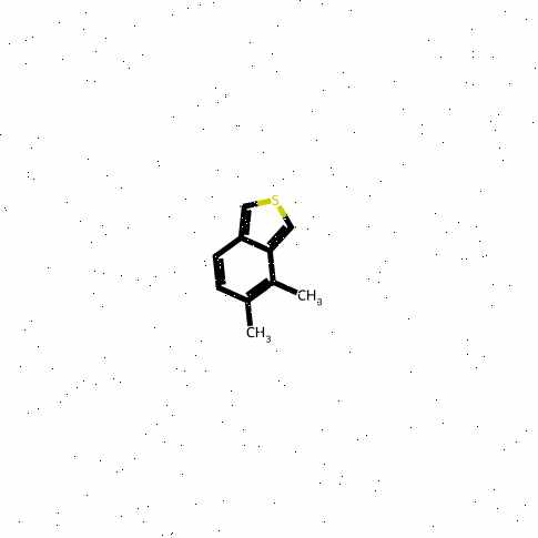 Cc1ccc2[c]s[c]c2c1C